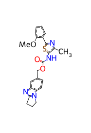 COc1ccccc1-c1nc(C)c(NC(=O)OCc2ccc3c(c2)nc2n3CCC2)s1